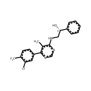 Cc1c(NC[C@H](O)c2ccccc2)ncnc1-c1ccc(C(F)(F)F)c(Cl)c1